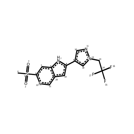 CS(=O)(=O)c1cc2[nH]c(-c3cnn(CC(F)(F)F)c3)cc2cn1